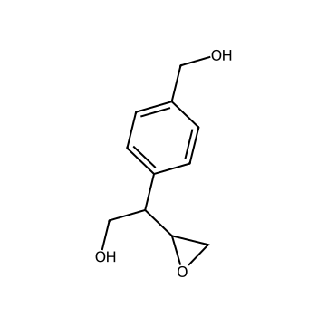 OCc1ccc(C(CO)C2CO2)cc1